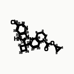 O=C(OC1CC1)N1CCCc2nc(C3(c4nc5ncc(Cl)cc5[nH]4)CCC3)ccc21